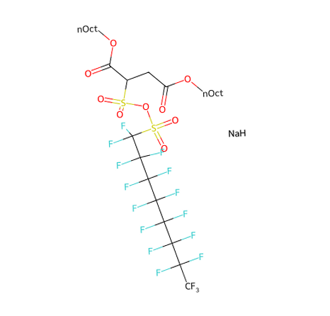 CCCCCCCCOC(=O)CC(C(=O)OCCCCCCCC)S(=O)(=O)OS(=O)(=O)C(F)(F)C(F)(F)C(F)(F)C(F)(F)C(F)(F)C(F)(F)C(F)(F)C(F)(F)F.[NaH]